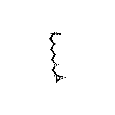 [CH2]CCCCCCCCCCOCC1CO1